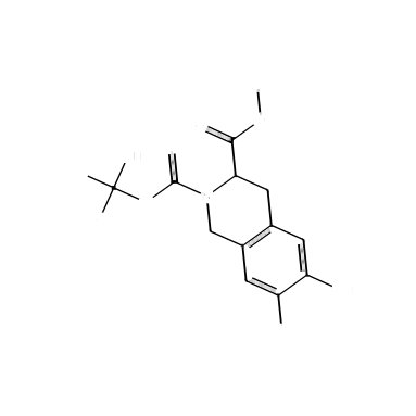 COC(=O)C1Cc2cc(O)c(O)cc2CN1C(=O)OC(C)(C)C